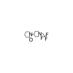 O=C1CCCCN1C1CCN(CC(F)(F)F)CC1